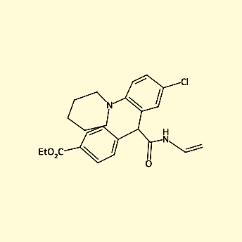 C=CNC(=O)C(c1ccc(C(=O)OCC)cc1)c1cc(Cl)ccc1N1CCCCC1